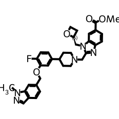 COC(=O)c1ccc2nc(CN3CCC(c4ccc(F)c(OCc5ccc6cnn(C)c6c5)c4)CC3)n(C[C@@H]3CCO3)c2c1